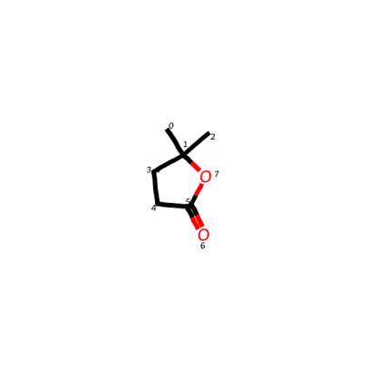 CC1(C)[CH]CC(=O)O1